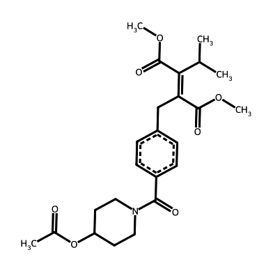 COC(=O)C(Cc1ccc(C(=O)N2CCC(OC(C)=O)CC2)cc1)=C(C(=O)OC)C(C)C